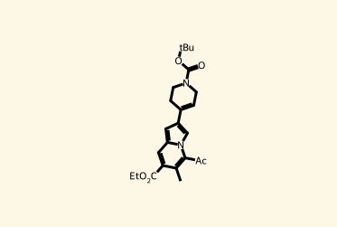 CCOC(=O)c1cc2cc(C3=CCN(C(=O)OC(C)(C)C)CC3)cn2c(C(C)=O)c1C